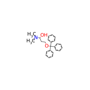 CN(C)C(O)CCOC(c1ccccc1)(c1ccccc1)c1ccccc1